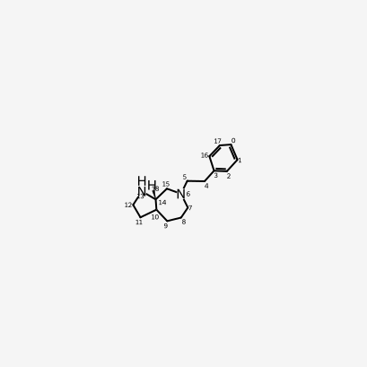 c1ccc(CCN2CCCC3CCN[C@@H]3C2)cc1